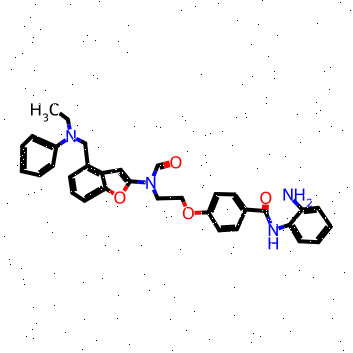 CCN(Cc1cccc2oc(N(C=O)CCOc3ccc(C(=O)Nc4ccccc4N)cc3)cc12)c1ccccc1